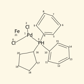 [Cl][Pd]([Cl])[PH](c1ccccc1)(c1ccccc1)C1CCCC1.[Fe]